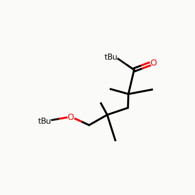 CC(C)(COC(C)(C)C)CC(C)(C)C(=O)C(C)(C)C